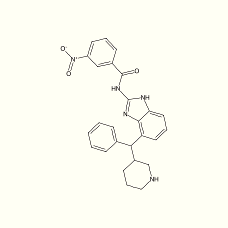 O=C(Nc1nc2c(C(c3ccccc3)C3CCCNC3)cccc2[nH]1)c1cccc([N+](=O)[O-])c1